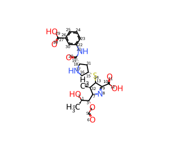 C[C@@H](O)[C@@H](OC=O)[C@@H]1N=C(C(=O)O)C(S[C@@H]2CN[C@H](C(=O)Nc3cccc(C(=O)O)c3)C2)[C@@H]1C